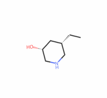 CC[C@@H]1CNC[C@H](O)C1